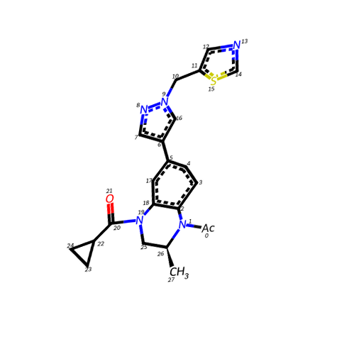 CC(=O)N1c2ccc(-c3cnn(Cc4cncs4)c3)cc2N(C(=O)C2CC2)C[C@@H]1C